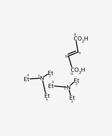 CCN(CC)CC.CCN(CC)CC.O=C(O)C=CC(=O)O